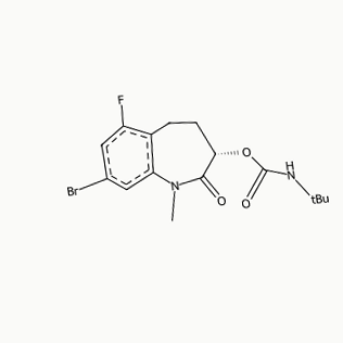 CN1C(=O)[C@@H](OC(=O)NC(C)(C)C)CCc2c(F)cc(Br)cc21